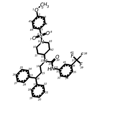 COc1ccc(S(=O)(=O)N2CCC(N(CCC(c3ccccc3)c3ccccc3)C(=O)Nc3cccc(C(F)(F)F)c3)CC2)cc1